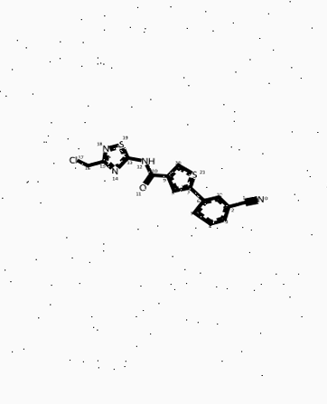 N#Cc1cccc(-c2cc(C(=O)Nc3nc(CCl)ns3)cs2)c1